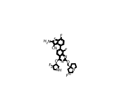 N#Cc1c(N)sc2c(F)ccc(-c3ccc4c(O[C@H]5CNC[C@H]5F)nc(OC[C@@]56CCCN5C[C@H](F)C6)nc4c3F)c12